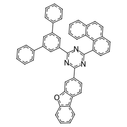 c1ccc(-c2cc(-c3ccccc3)cc(-c3nc(-c4ccc5c(c4)oc4ccccc45)nc(-c4cccc5ccc6ccccc6c45)n3)c2)cc1